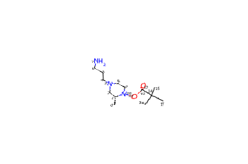 C[C@H]1CN(CCCN)CCN1OC(=O)C(C)(C)C